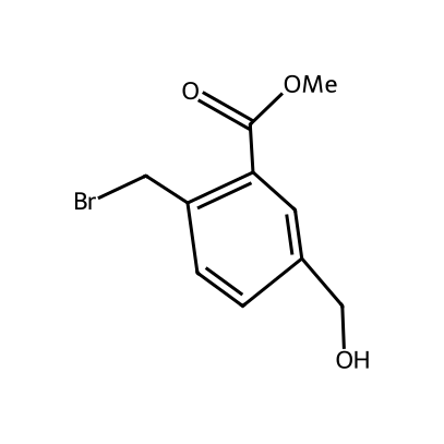 COC(=O)c1cc(CO)ccc1CBr